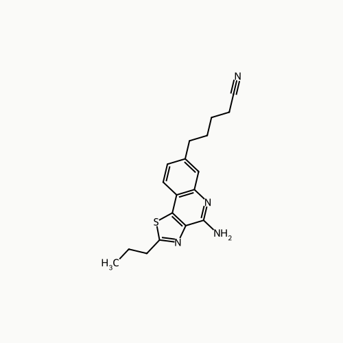 CCCc1nc2c(N)nc3cc(CCCCC#N)ccc3c2s1